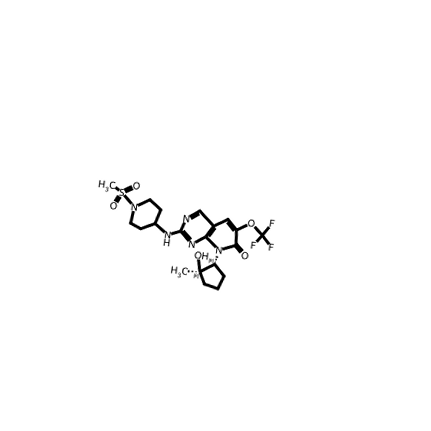 C[C@@]1(O)CCC[C@H]1n1c(=O)c(OC(F)(F)F)cc2cnc(NC3CCN(S(C)(=O)=O)CC3)nc21